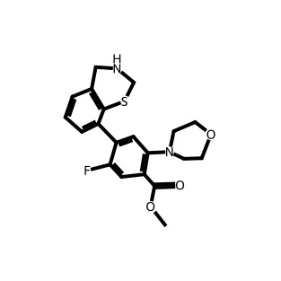 COC(=O)c1cc(F)c(-c2cccc3c2SCNC3)cc1N1CCOCC1